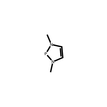 CN1C=CN(C)[P]1